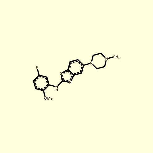 COc1ccc(F)cc1Nc1nc2cc(N3CCN(C)CC3)ccc2s1